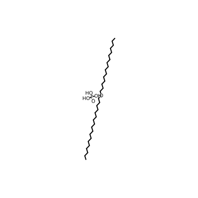 CCCCCCCCCCCCCCCCCCOCCCCCCCCCCCCCCCC.O=P(O)(O)O